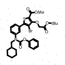 COC(=O)c1sc(-c2cccc(N(CC3CCCCC3)C(=O)Oc3ccccc3)c2)c(Br)c1OCC(=O)OC(C)(C)C